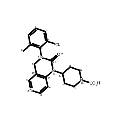 Cc1cccc(Cl)c1N1Cc2cnccc2N(C2CCN(C(=O)O)CC2)C1=O